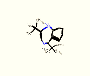 CC(C)(C)C1=CN=C(C(C)(C)C)c2ccccc2N1